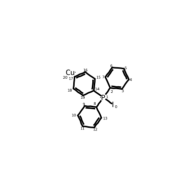 I[P](c1ccccc1)(c1ccccc1)c1ccccc1.[Cu]